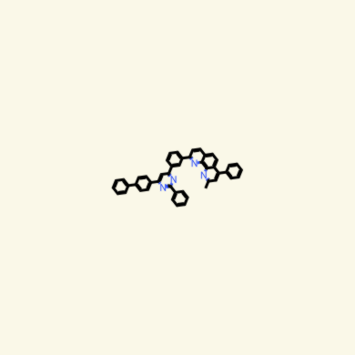 Cc1cc(-c2ccccc2)c2ccc3ccc(-c4cccc(-c5cc(-c6ccc(-c7ccccc7)cc6)nc(-c6ccccc6)n5)c4)nc3c2n1